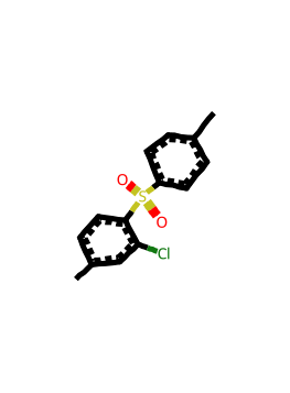 Cc1ccc(S(=O)(=O)c2ccc(C)cc2Cl)cc1